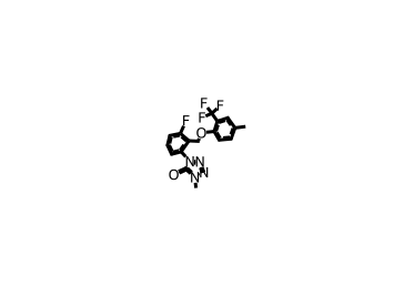 Cc1ccc(OCc2c(F)cccc2-n2nnn(C)c2=O)c(C(F)(F)F)c1